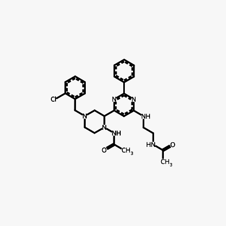 CC(=O)NCCNc1cc(C2CN(Cc3ccccc3Cl)CCN2NC(C)=O)nc(-c2ccccc2)n1